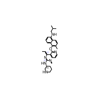 C=N/C(=N\C(=C/C)c1cccnc1Oc1c(C)ccc2c(NCC(C)C)cccc12)N[C@H]1CCCNC1